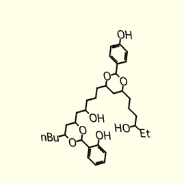 CCCCC1CC(CC(O)CCCC2CC(CCCC(O)CC)OC(c3ccc(O)cc3)O2)OC(c2ccccc2O)O1